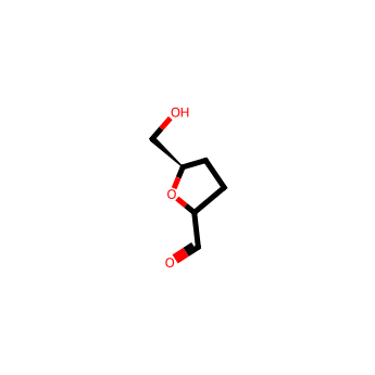 O=CC1CC[C@H](CO)O1